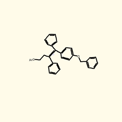 CC(=O)OCC/C(=C(\c1ccccc1)c1ccc(OCc2ccccc2)cc1)c1ccccc1